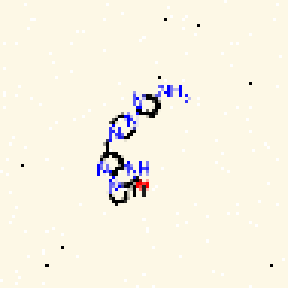 Nc1ccc(N2CCN(Cc3cnc4c(c3)NC(=O)[C@@H]3CCCN43)CC2)nc1